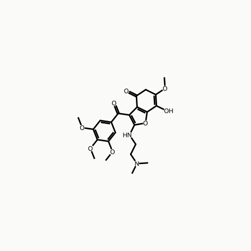 COC1=C(O)c2oc(NCCN(C)C)c(C(=O)c3cc(OC)c(OC)c(OC)c3)c2C(=O)C1